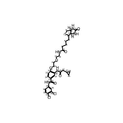 O=C(CCCCC1SC[C@@H]2NC(=O)N[C@H]12)NCCOCCOc1ccc(C(=O)Nc2ccc(Cl)c(Cl)c2)cc1NC(=O)CC1CC1